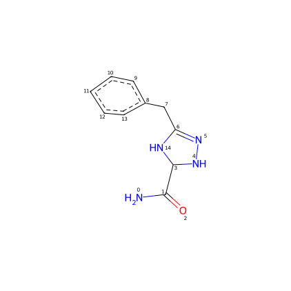 NC(=O)C1NN=C(Cc2ccccc2)N1